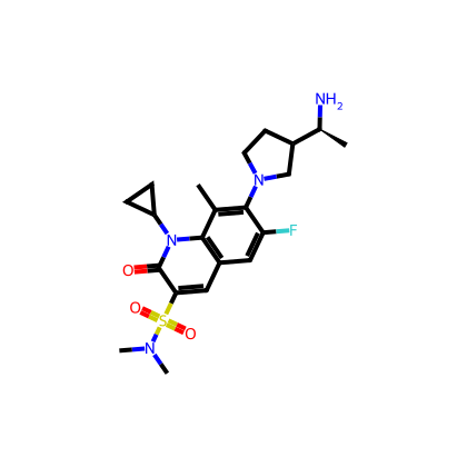 Cc1c(N2CCC([C@H](C)N)C2)c(F)cc2cc(S(=O)(=O)N(C)C)c(=O)n(C3CC3)c12